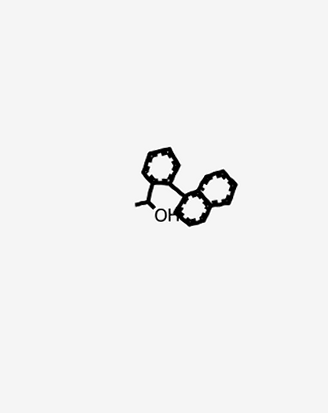 CC(O)c1ccccc1-c1cccc2ccccc12